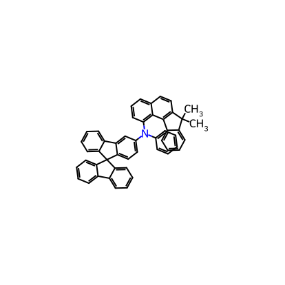 CC1(C)c2ccccc2-c2c1ccc1cccc(N(c3ccccc3)c3ccc4c(c3)-c3ccccc3C43c4ccccc4-c4ccccc43)c21